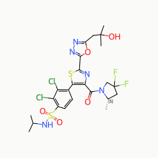 CC(C)NS(=O)(=O)c1ccc(-c2sc(-c3nnc(CC(C)(C)O)o3)nc2C(=O)N2CC(F)(F)C[C@@H]2C)c(Cl)c1Cl